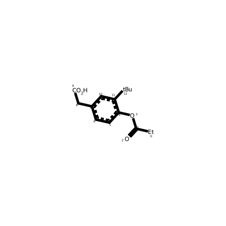 CCC(=O)Oc1ccc(CC(=O)O)cc1C(C)(C)C